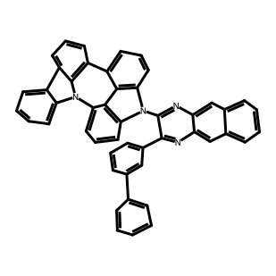 c1ccc(-c2cccc(-c3nc4cc5ccccc5cc4nc3-n3c4cccc5c6cccc7c8ccccc8n(c8cccc3c8c54)c67)c2)cc1